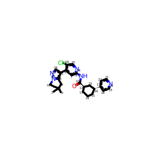 CC1(C)Cc2c(-c3cc(NC(=O)[C@@H]4CCC[C@@H](c5ccncc5)C4)ncc3Cl)cnn2C1